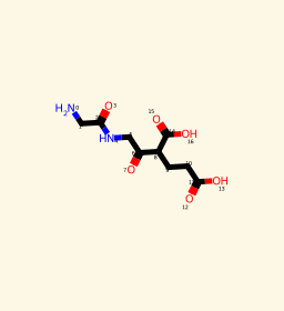 NCC(=O)NCC(=O)C(CCC(=O)O)C(=O)O